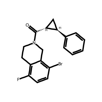 O=C([C@@H]1C[C@H]1c1ccccc1)N1CCc2c(F)ccc(Br)c2C1